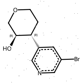 O[C@H]1COCC[C@@H]1c1[c]ncc(Br)c1